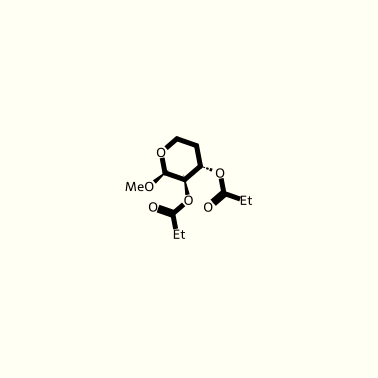 CCC(=O)O[C@H]1[C@@H](OC)OCC[C@@H]1OC(=O)CC